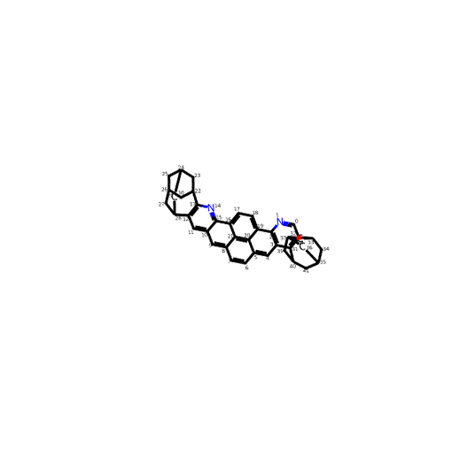 c1nc2c(cc3ccc4cc5cc6c(nc5c5ccc2c3c45)C2CC3CC(CC6C3)C2)c2c1C1CC3CC(C1)CC2C3